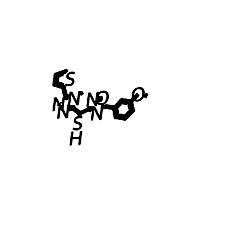 COc1cccc(-c2nc(C(S)c3nnc(-c4cccs4)n3C)no2)c1